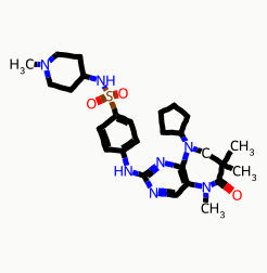 CN1CCC(NS(=O)(=O)c2ccc(Nc3ncc4c(n3)N(C3CCCC3)CC(C)(C)C(=O)N4C)cc2)CC1